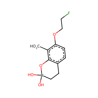 O=C(O)c1c(OCCF)ccc2c1O[B-](O)(O)CC2